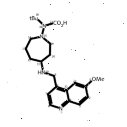 COc1ccc2nccc(CNC3CCCN(N(C(=O)O)C(C)(C)C)CC3)c2c1